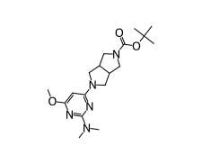 COc1cc(N2CC3CN(C(=O)OC(C)(C)C)CC3C2)nc(N(C)C)n1